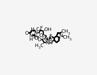 Cc1cc2c(F)c(O[P@@](=O)(N[C@@H](C)C(=O)OC(C)C)OC[C@H]3O[C@@H](n4ccc(=O)[nH]c4=O)[C@](C)(F)[C@@H]3O)ccc2n1C